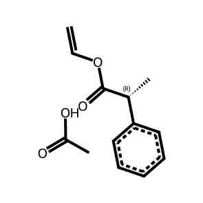 C=COC(=O)[C@H](C)c1ccccc1.CC(=O)O